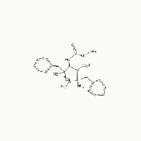 CC(O)C(N)(Cc1ccccc1)N(C(=O)O)C(NC(=O)OC(C)(C)C)C(C)(O)Cc1ccccc1